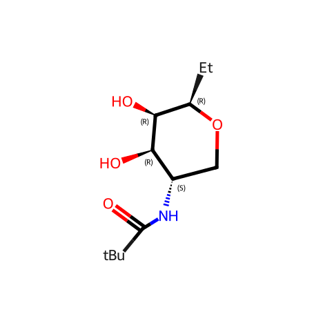 CC[C@H]1OC[C@H](NC(=O)C(C)(C)C)[C@@H](O)[C@H]1O